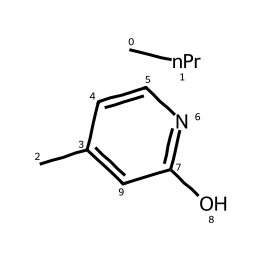 CCCC.Cc1ccnc(O)c1